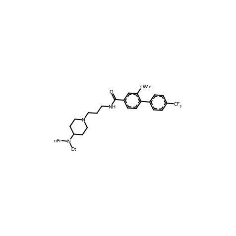 CCCN(CC)C1CCN(CCCNC(=O)c2ccc(-c3ccc(C(F)(F)F)cc3)c(OC)c2)CC1